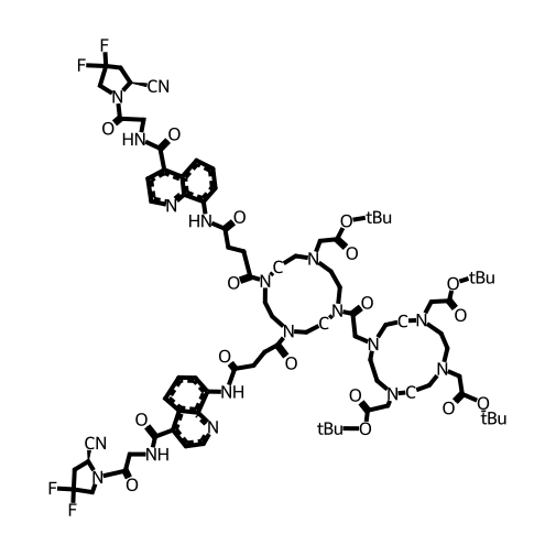 CC(C)(C)OC(=O)CN1CCN(CC(=O)OC(C)(C)C)CCN(CC(=O)N2CCN(CC(=O)OC(C)(C)C)CCN(C(=O)CCC(=O)Nc3cccc4c(C(=O)NCC(=O)N5CC(F)(F)C[C@H]5C#N)ccnc34)CCN(C(=O)CCC(=O)Nc3cccc4c(C(=O)NCC(=O)N5CC(F)(F)C[C@H]5C#N)ccnc34)CC2)CCN(CC(=O)OC(C)(C)C)CC1